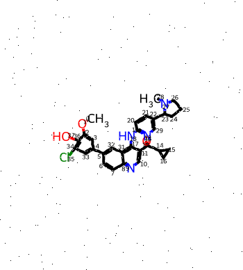 COc1cc(-c2ccc3ncc(C(=O)C4CC4)c(Nc4ccc(C5CCCN5C)cn4)c3c2)cc(Cl)c1O